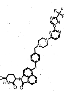 O=C1CCC(N2C(=O)c3cccc4c(Cc5ccc(CN6CCN(c7ccnc(-n8cnc(C(F)(F)F)n8)n7)CC6)cc5)ccc2c34)C(=O)N1